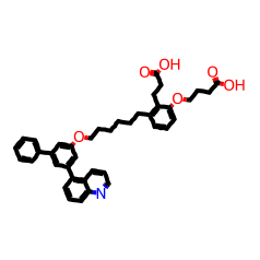 O=C(O)CCCOc1cccc(CCCCCCOc2cc(-c3ccccc3)cc(-c3cccc4ncccc34)c2)c1CCC(=O)O